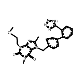 COCCn1c(=O)n(C)c(=O)c2c1nc(C)n2Cc1ccc(-c2ccccc2-c2nnn[nH]2)cc1